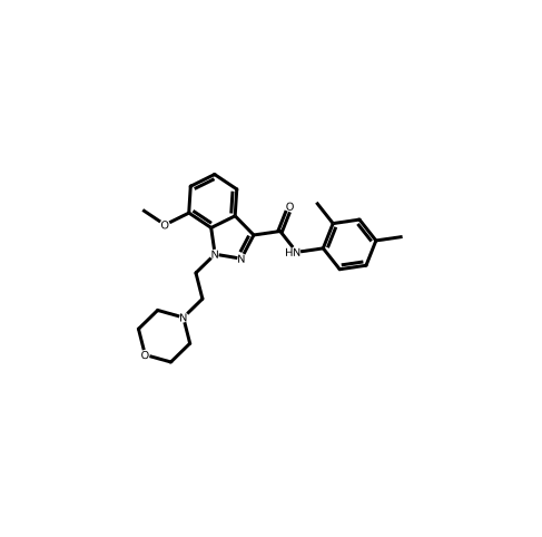 COc1cccc2c(C(=O)Nc3ccc(C)cc3C)nn(CCN3CCOCC3)c12